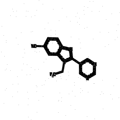 N#Cc1ccc2nc(-c3cncnc3)n(CC(F)(F)F)c2c1